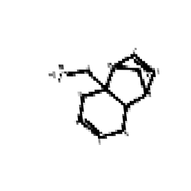 CCC12CC=CCC1C1C=CC2C1